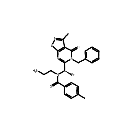 Cc1ccc(C(=O)N(CCN)[C@@H](c2nc3snc(C)c3c(=O)n2Cc2ccccc2)C(C)C)cc1